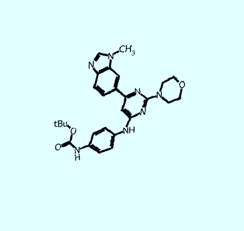 Cn1cnc2ccc(-c3cc(Nc4ccc(NC(=O)OC(C)(C)C)cc4)nc(N4CCOCC4)n3)cc21